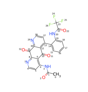 CC(=O)Nc1ccnc2c1C(=O)c1c(-c3ccccc3NC(=O)C(F)(F)F)ccnc1C2=O